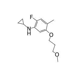 COCCCOc1cc(NC2CC2)c(F)cc1C